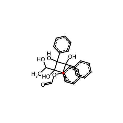 CC(O)C(O)(c1ccccc1)C(O)(c1ccccc1)C(O)(C(=O)OC=O)c1ccccc1